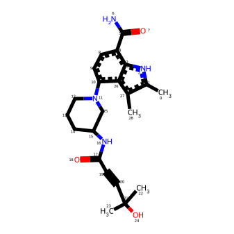 Cc1[nH]c2c(C(N)=O)ccc(N3CCCC(NC(=O)C#CC(C)(C)O)C3)c2c1C